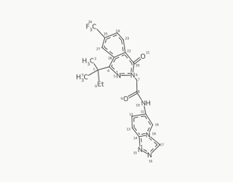 CCC(C)(C)c1nn(CC(=O)Nc2ccc3nncn3c2)c(=O)c2ccc(C(F)(F)F)cc12